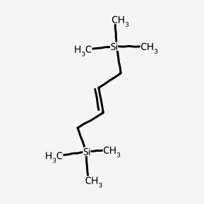 C[Si](C)(C)CC=CC[Si](C)(C)C